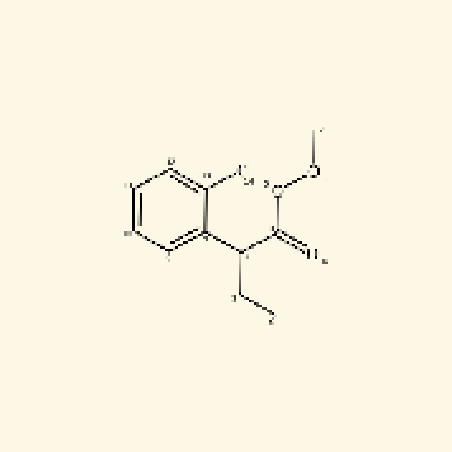 CCC(C(=O)OOC)c1ccccc1Cl